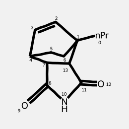 CCCC12C=CC(CC1)C1C(=O)NC(=O)C12